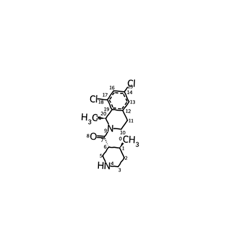 C[C@H]1CCNC[C@@H]1C(=O)N1CCc2cc(Cl)cc(Cl)c2[C@@H]1C